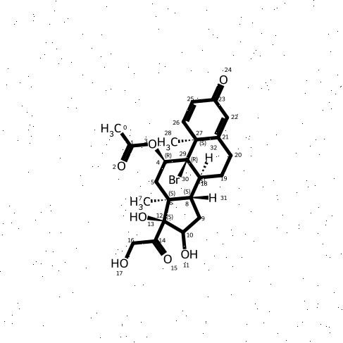 CC(=O)O[C@@H]1C[C@@]2(C)[C@@H](CC(O)[C@]2(O)C(=O)CO)[C@@H]2CCC3=CC(=O)C=C[C@]3(C)[C@@]12Br